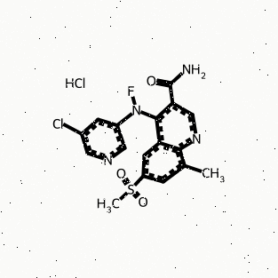 Cc1cc(S(C)(=O)=O)cc2c(N(F)c3cncc(Cl)c3)c(C(N)=O)cnc12.Cl